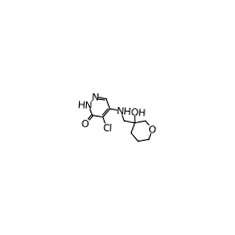 O=c1[nH]ncc(NCC2(O)CCCOC2)c1Cl